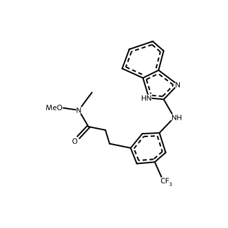 CON(C)C(=O)CCc1cc(Nc2nc3ccccc3[nH]2)cc(C(F)(F)F)c1